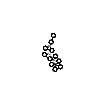 c1ccc(-c2ccc(-n3c4ccccc4c4c(-n5c6ccccc6c6ccc([Si]7(c8ccccc8)c8ccccc8[Si](c8ccccc8)(c8ccccc8)c8ccccc87)cc65)cccc43)cc2)cc1